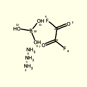 N.N.N.O=C(F)C(=O)F.OB(O)O